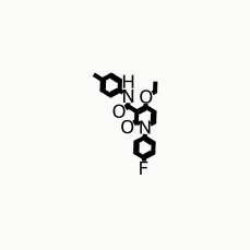 CCOc1ccn(-c2ccc(F)cc2)c(=O)c1C(=O)Nc1ccc(C)cc1